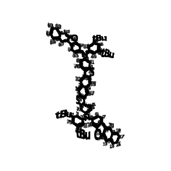 CC(C)(C)c1cc(N(c2ccc3c(c2)oc2cc4ccccc4cc23)c2ccc3c(c2)sc2cc4cc5c(cc4cc23)sc2cc(N(c3cc(C(C)(C)C)cc(C(C)(C)C)c3)c3ccc4c(c3)oc3cc6ccccc6cc34)ccc25)cc(C(C)(C)C)c1